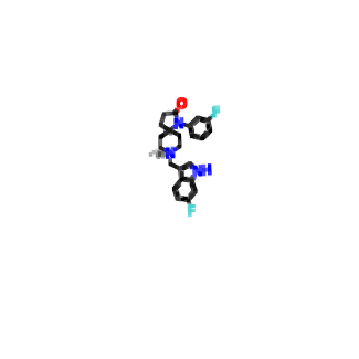 C[C@@H]1C[C@]2(CCC(=O)N2c2cccc(F)c2)CCN1Cc1c[nH]c2cc(F)ccc12